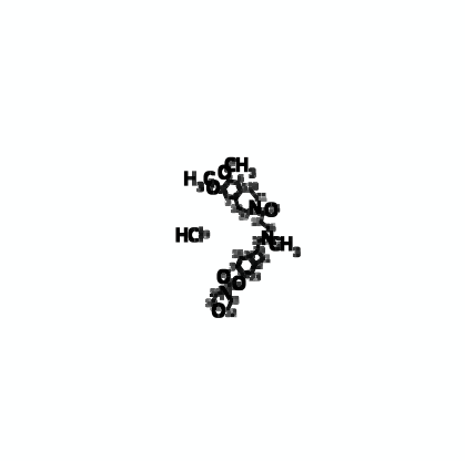 COc1cc2c(cc1OC)CCN(C(=O)CCN(C)CC1Cc3cc(OC(=O)N4CCOCC4)ccc31)CC2.Cl